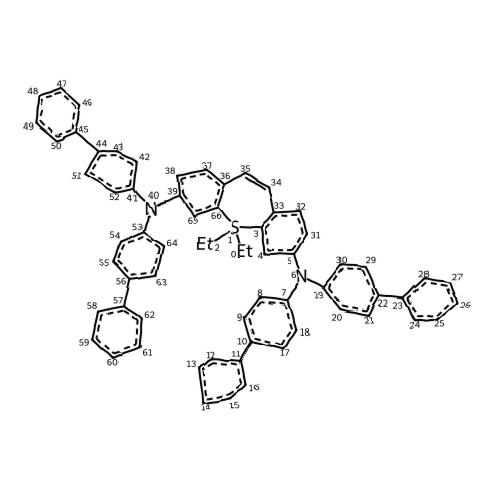 CCS1(CC)c2cc(N(c3ccc(-c4ccccc4)cc3)c3ccc(-c4ccccc4)cc3)ccc2C=Cc2ccc(N(c3ccc(-c4ccccc4)cc3)c3ccc(-c4ccccc4)cc3)cc21